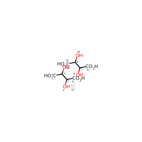 O=C(O)C(O)C(O)C(=O)O.O=C(O)C(O)C(O)C(=O)O.[B]